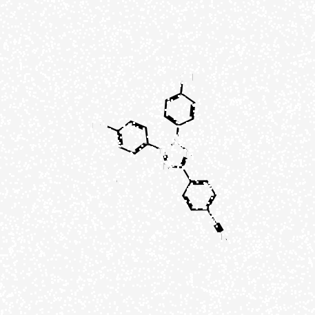 Cc1ccc(-n2nc(-c3ccc(C#N)cc3)n[n+]2-c2ccc(C)cc2)cc1.[Cl-]